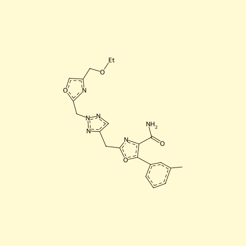 CCOCc1coc(Cn2ncc(Cc3nc(C(N)=O)c(-c4cccc(C)c4)o3)n2)n1